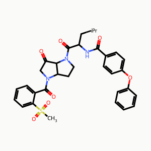 CC(C)CC(NC(=O)c1ccc(Oc2ccccc2)cc1)C(=O)N1CCC2C1C(=O)CN2C(=O)c1ccccc1S(C)(=O)=O